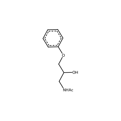 [CH2]C(=O)NCC(O)COc1ccccc1